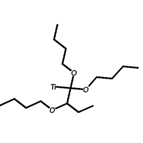 CCCCOC(CC)[C]([Ti])(OCCCC)OCCCC